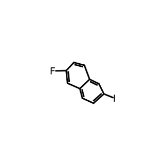 Fc1ccc2cc(I)ccc2c1